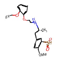 CCOc1ccccc1OCCN[C@H](C)Cc1ccc(OC)c([SH](=O)=O)c1